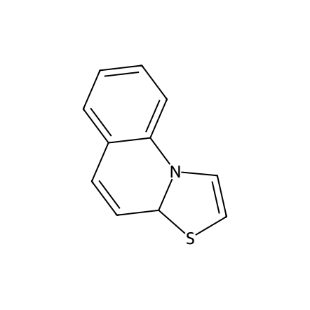 C1=CN2c3ccccc3C=CC2S1